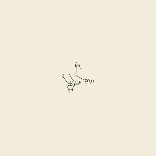 CC(=O)O.CC(=O)O.NCC(=O)O.[KH]